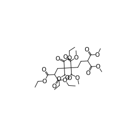 CCOC(=O)C(CC(C(=O)OCC)(C(=O)OCC)C(CCC(C(=O)OC)C(=O)OC)(C(=O)OC)C(=O)OC)C(=O)OCC